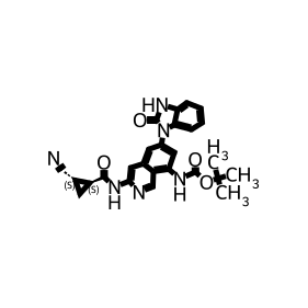 CC(C)(C)OC(=O)Nc1cc(-n2c(=O)[nH]c3ccccc32)cc2cc(NC(=O)[C@H]3C[C@@H]3C#N)ncc12